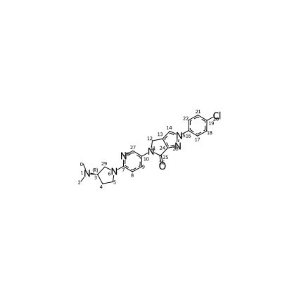 CN(C)[C@@H]1CCN(c2ccc(N3Cc4cn(-c5ccc(Cl)cc5)nc4C3=O)cn2)C1